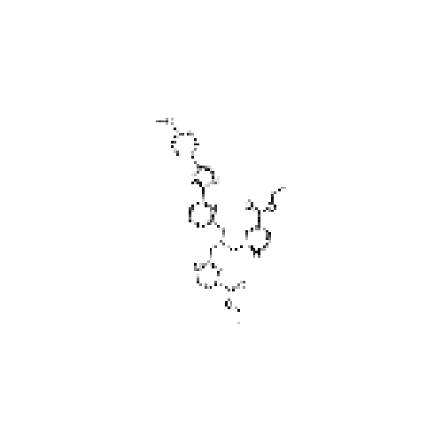 CCOC(=O)c1ccnc(CN(Cc2cc(C(=O)OCC)ccn2)Cc2cccc(-c3ncc(-c4ccc(OC)cc4)s3)n2)c1